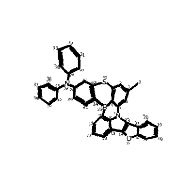 Cc1cc2c3c(c1)-n1c4c(cccc4c4oc5ccccc5c41)B3c1ccc(N(c3ccccc3)c3ccccc3)cc1S2